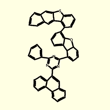 C1=CC2Oc3c(-c4cccc5sc6cc7ccccc7cc6c45)cccc3C2C(c2nc(-c3ccccc3)nc(-c3cc4ccccc4c4ccccc34)n2)=C1